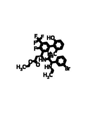 C=CNC(C(=O)N[C@@H](CC(=O)OCC)c1cc(-c2c(C)cccc2O)cc(C(F)(F)F)c1F)c1cccc(Br)c1